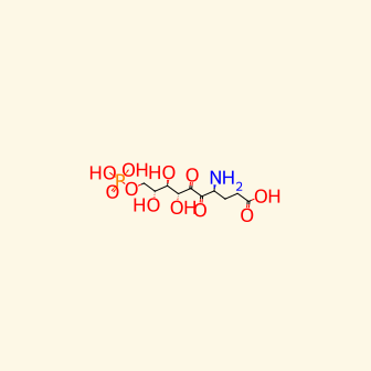 N[C@@H](CCC(=O)O)C(=O)C(=O)[C@H](O)[C@H](O)[C@H](O)COP(=O)(O)O